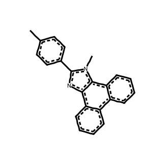 Cc1ccc(-c2nc3c4ccccc4c4ccccc4c3n2C)cc1